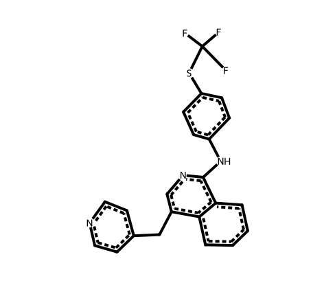 FC(F)(F)Sc1ccc(Nc2ncc(Cc3ccncc3)c3ccccc23)cc1